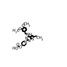 CCc1cc2c(NCc3ccc(OC)c(OC)c3)nc(N3CCC(OC(=O)O)CC3)nc2s1